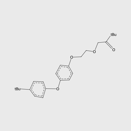 CC(C)(C)C(=O)COCCOc1ccc(Oc2ccc(C(C)(C)C)cc2)cc1